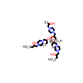 CCCC[Si](OC(CN1CCN(CC(O)CC)CC1)CS(=O)(=O)O)(OC(CN1CCN(CC(O)CS(=O)(=O)O)CC1)CS(=O)(=O)O)OC(CN1CCN(CC(O)CS(=O)(=O)O)CC1)CS(=O)(=O)O